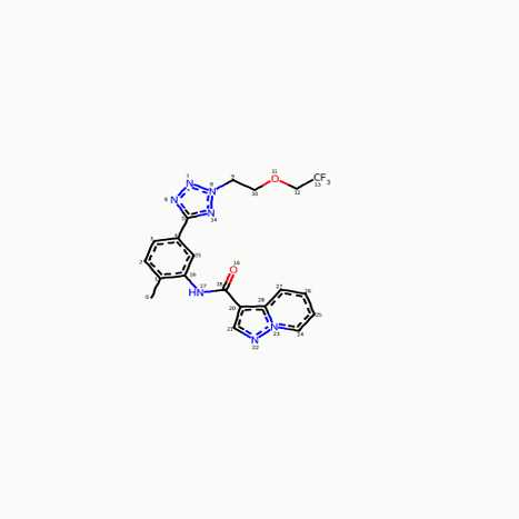 Cc1ccc(-c2nnn(CCOCC(F)(F)F)n2)cc1NC(=O)c1cnn2ccccc12